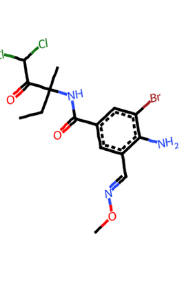 CCC(C)(NC(=O)c1cc(Br)c(N)c(/C=N/OC)c1)C(=O)C(Cl)Cl